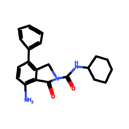 Nc1ccc(-c2ccccc2)c2c1C(=O)N(C(=O)NC1CCCCC1)C2